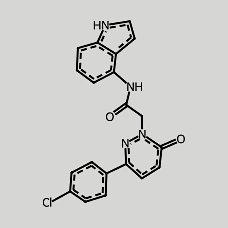 O=C(Cn1nc(-c2ccc(Cl)cc2)ccc1=O)Nc1cccc2[nH]ccc12